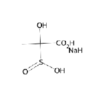 CC(O)(C(=O)O)S(=O)O.[NaH]